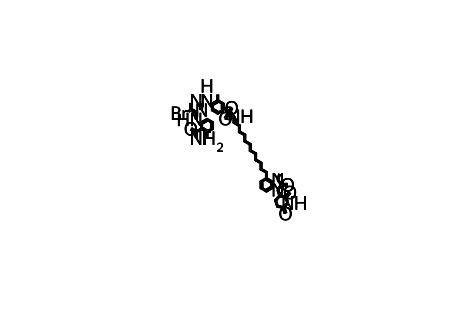 Cc1cc(S(=O)(=O)NCCCCCCCCCCCCc2cccc3c2n(C)c(=O)n3C2CCC(=O)NC2=O)ccc1Nc1ncc(Br)c(Nc2cccc(F)c2C(N)=O)n1